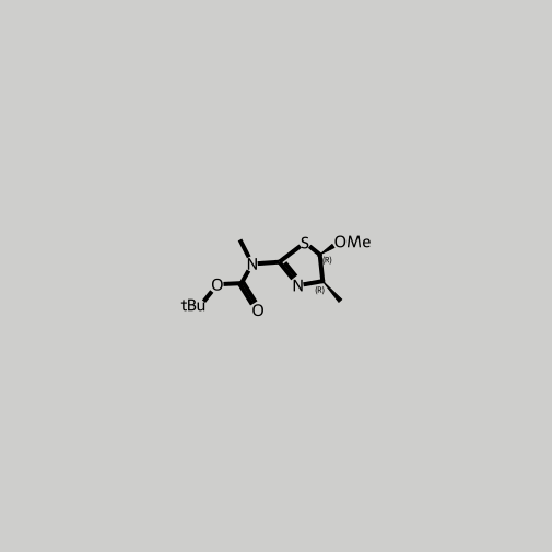 CO[C@@H]1SC(N(C)C(=O)OC(C)(C)C)=N[C@@H]1C